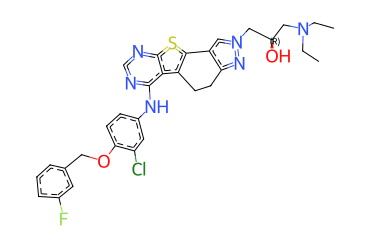 CCN(CC)C[C@@H](O)Cn1cc2c(n1)CCc1c-2sc2ncnc(Nc3ccc(OCc4cccc(F)c4)c(Cl)c3)c12